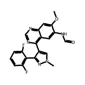 COc1cc2ncnc(-c3cn(C)nc3-c3c(F)cccc3F)c2cc1NC=O